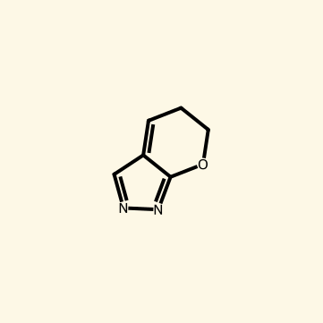 C1=NN=C2OCCC=C12